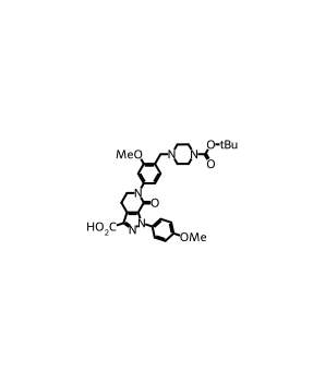 COc1ccc(-n2nc(C(=O)O)c3c2C(=O)N(c2ccc(CN4CCN(C(=O)OC(C)(C)C)CC4)c(OC)c2)CC3)cc1